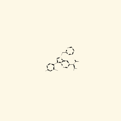 CC(=N)/C(=C(/C)O)c1cnc2c(-c3ccc(C(=O)O)cc3F)cn([C@@H](C)c3ccccn3)c2c1